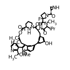 CCn1c(-c2cccnc2[C@H](C)OC)c2c3cc(ccc31)-c1cc(O)cc(c1)C[C@H](NC(=O)C(C(C)C)N(C)C(=O)[C@]1(F)CCN(C(=O)[C@H]3CN3)C1)C(=O)N1CCC[C@H](N1)C(=O)OCC(C)(C)C2